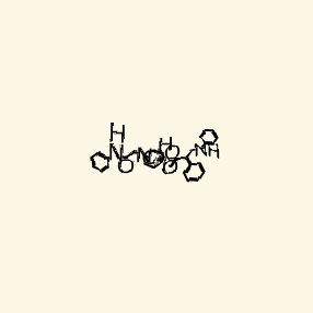 O=C(C[N+]12CCC(CC1)[C@@H](OC(=O)C(CNc1ccccc1)c1ccccc1)C2)Nc1ccccc1